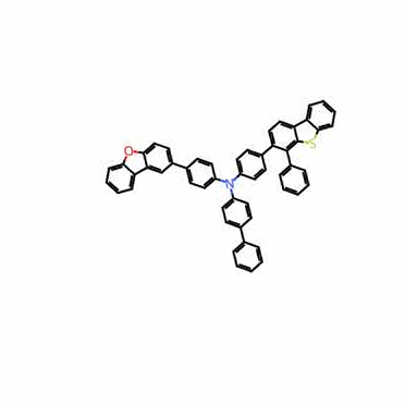 c1ccc(-c2ccc(N(c3ccc(-c4ccc5oc6ccccc6c5c4)cc3)c3ccc(-c4ccc5c(sc6ccccc65)c4-c4ccccc4)cc3)cc2)cc1